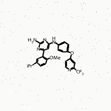 COc1ccc(C(C)C)cc1-c1cc(Nc2ccc(Oc3ccnc(C(F)(F)F)c3)cc2)nc(N)n1